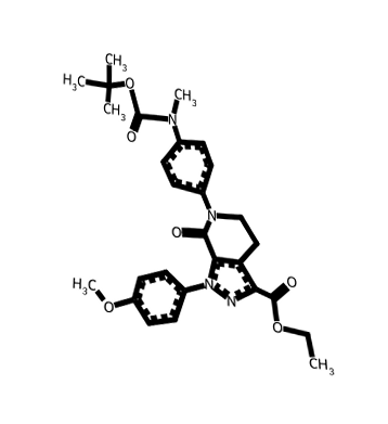 CCOC(=O)c1nn(-c2ccc(OC)cc2)c2c1CCN(c1ccc(N(C)C(=O)OC(C)(C)C)cc1)C2=O